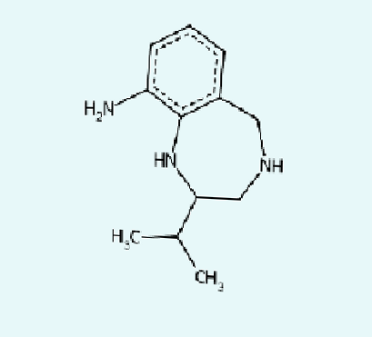 CC(C)C1CNCc2cccc(N)c2N1